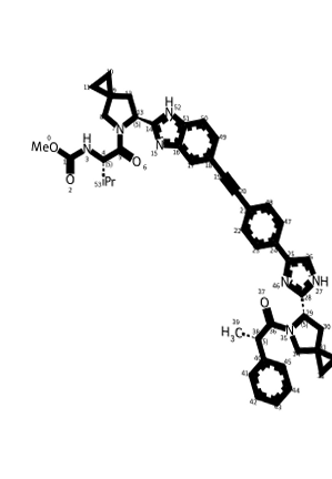 COC(=O)N[C@H](C(=O)N1CC2(CC2)C[C@H]1c1nc2cc(C#Cc3ccc(-c4c[nH]c([C@@H]5CC6(CC6)CN5C(=O)[C@@H](C)c5ccccc5)n4)cc3)ccc2[nH]1)C(C)C